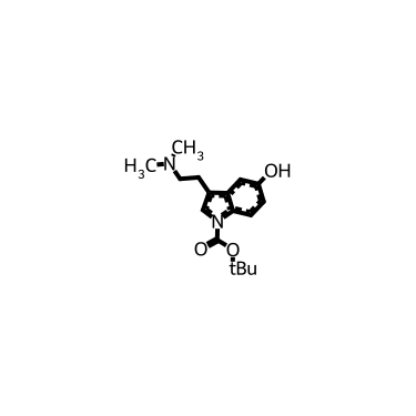 CN(C)CCc1cn(C(=O)OC(C)(C)C)c2ccc(O)cc12